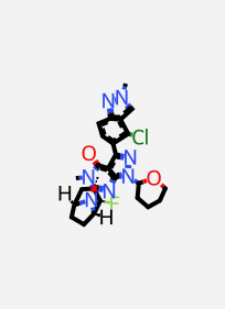 C[C@H]1C[C@H]2CC[C@@H]([C@@H]1F)N2c1nc2c(c(-c3ccc4nn(C)cc4c3Cl)nn2C2CCCCO2)c(=O)n1C